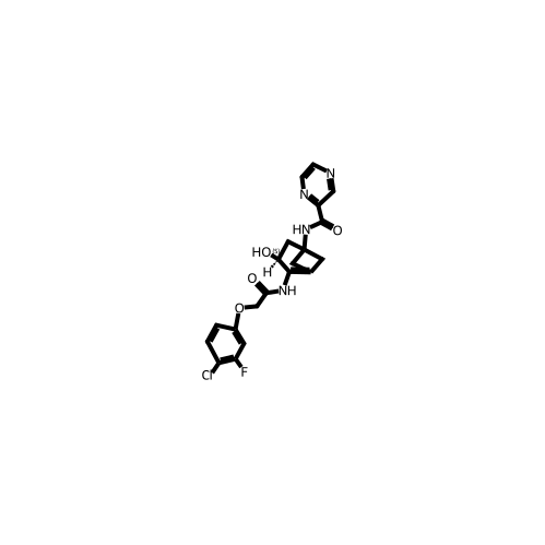 O=C(COc1ccc(Cl)c(F)c1)NC1=C2CC(NC(=O)c3cnccn3)(C2)C[C@@H]1O